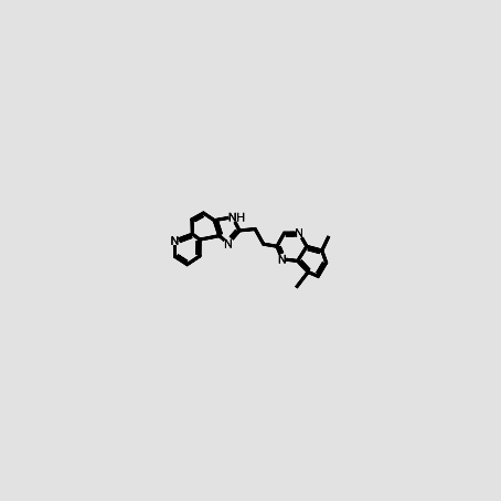 Cc1ccc(C)c2nc(CCc3nc4c(ccc5ncccc54)[nH]3)cnc12